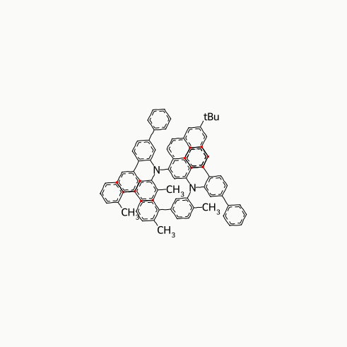 Cc1ccccc1-c1ccc(C)c(N(c2cc(-c3ccccc3)ccc2-c2ccccc2)c2cc(N(c3cc(-c4ccccc4C)ccc3C)c3cc(-c4ccccc4)ccc3-c3ccccc3)c3ccc4cc(C(C)(C)C)cc5ccc2c3c54)c1